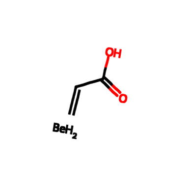 C=CC(=O)O.[BeH2]